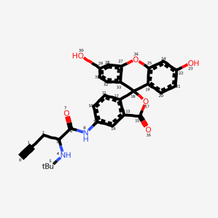 C#CCC(NC(C)(C)C)C(=O)Nc1ccc2c(c1)C(=O)OC21c2ccc(O)cc2Oc2cc(O)ccc21